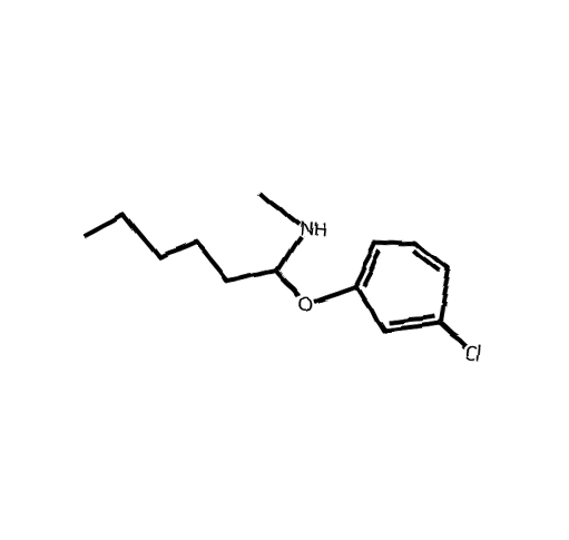 CCCCCC(NC)Oc1cccc(Cl)c1